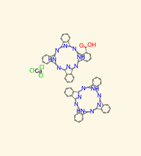 O=C(O)c1cccc2c3nc4nc(nc5[nH]c(nc6nc(nc([nH]3)c12)-c1ccccc1-6)c1ccccc51)-c1ccccc1-4.[Cl][Ga]([Cl])[Cl].c1ccc2c(c1)-c1nc-2nc2[nH]c(nc3nc(nc4[nH]c(n1)c1ccccc41)-c1ccccc1-3)c1ccccc21